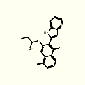 CCC(S)Oc1cc2c(C)cccc2c(S)c1-c1nc2ncccc2[nH]1